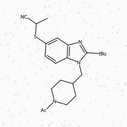 CC(=O)N1CCC(Cn2c(C(C)(C)C)nc3cc(SC(C)C#N)ccc32)CC1